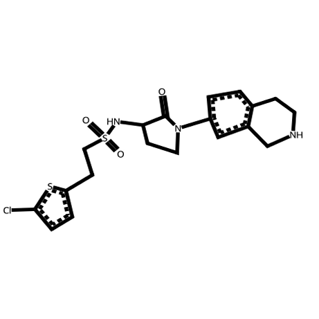 O=C1C(NS(=O)(=O)CCc2ccc(Cl)s2)CCN1c1ccc2c(c1)CNCC2